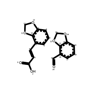 O=C(O)/C=C/c1cccc2c1OCO2.O=Cc1cccc2c1OCO2